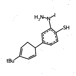 CC(C)(C)C1=CCC(c2ccc(S)c(N(N)I)c2)C=C1